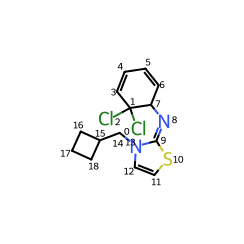 ClC1(Cl)C=CC=CC1N=c1sccn1CC1CCC1